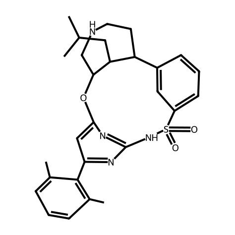 Cc1cccc(C)c1-c1cc2nc(n1)NS(=O)(=O)c1cccc(c1)C1CCNCC(O2)C1CC(C)C